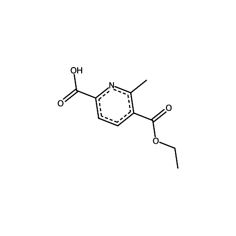 CCOC(=O)c1ccc(C(=O)O)nc1C